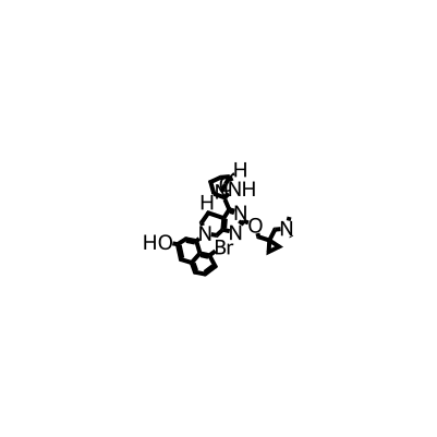 CN(C)CC1(COc2nc3c(c(N4C[C@@H]5CC[C@H]4CN5)n2)CCN(c2cc(O)cc4cccc(Br)c24)C3)CC1